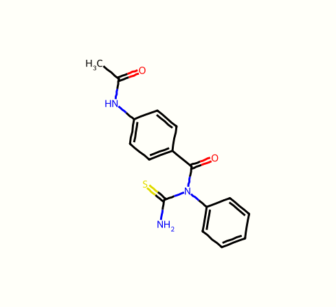 CC(=O)Nc1ccc(C(=O)N(C(N)=S)c2ccccc2)cc1